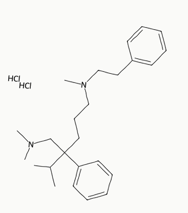 CC(C)C(CCCN(C)CCc1ccccc1)(CN(C)C)c1ccccc1.Cl.Cl